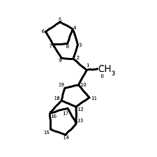 CC(C1CC2CCC(C2)C1)C1CC2C3CCC(C3)C2C1